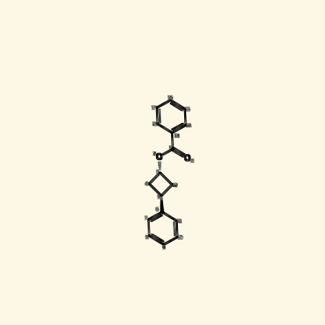 O=C(O[C@H]1C[C@H](c2ccccc2)C1)c1ccccc1